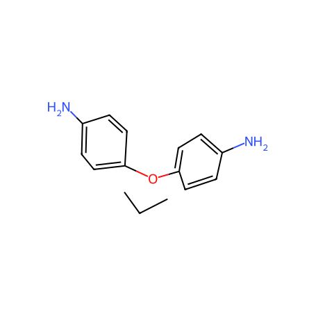 CCC.Nc1ccc(Oc2ccc(N)cc2)cc1